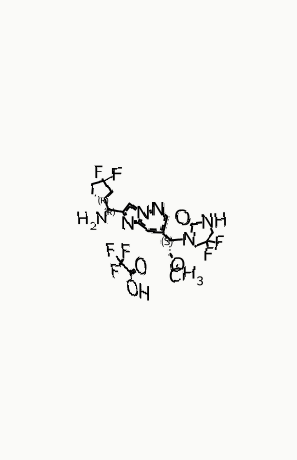 COC[C@H](c1cnn2cc([C@H](N)[C@@H]3CCC(F)(F)C3)nc2c1)N1CC(F)(F)CNC1=O.O=C(O)C(F)(F)F